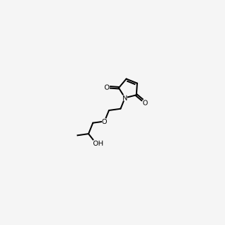 CC(O)COCCN1C(=O)C=CC1=O